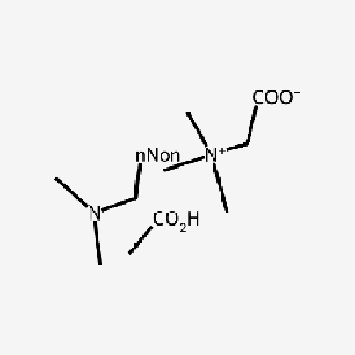 CC(=O)O.CCCCCCCCCCN(C)C.C[N+](C)(C)CC(=O)[O-]